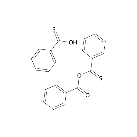 O=C(OC(=S)c1ccccc1)c1ccccc1.OC(=S)c1ccccc1